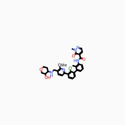 COc1nc(-c2cccc(-c3cccc(NC(=O)c4ccnn(C)c4=O)c3C)c2Cl)ccc1CNC1CCOCC1O